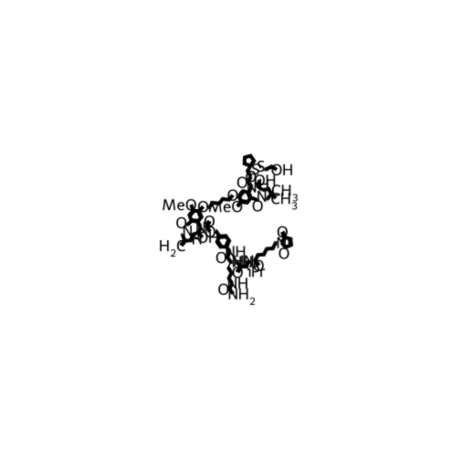 C=C1C[C@H]2C(O)N(C(=O)OCc3ccc(NC(=O)[C@H](CCCNC(N)=O)NC(=O)[C@@H](NC(=O)CCCCCN4C(=O)C=CC4=O)C(C)C)cc3)c3cc(OCCCCCOc4cc5c(cc4OC)C(=O)N4CC(C)(C)C[C@H]4C(O)N5C(=O)OCC4(SSCCO)CCCC4)c(OC)cc3C(=O)N2C1